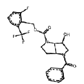 O=C(c1ccccc1)N1CC(O)C2C1CCN2C(=O)OCc1c(F)cccc1C(F)(F)F